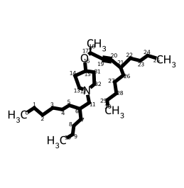 CCCCCCC(CCCC)CN1CCC(O[C@@H](C)C#CC(CCCC)CCCCC)CC1